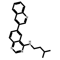 CC(C)CCNc1ncnc2ccc(-c3cnc4ccccc4c3)cc12